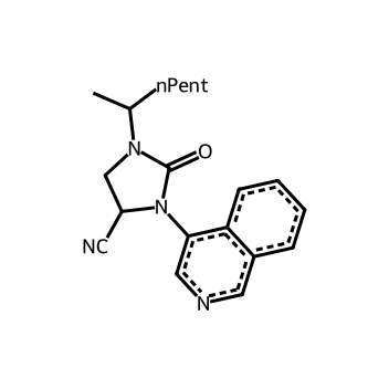 CCCCCC(C)N1CC(C#N)N(c2cncc3ccccc23)C1=O